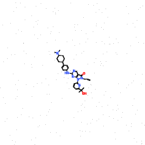 C=CCn1c(=O)c2cnc(Nc3ccc(C4CCC(N(C)C)CC4)cc3)nc2n1-c1cccc(C(C)(C)O)n1